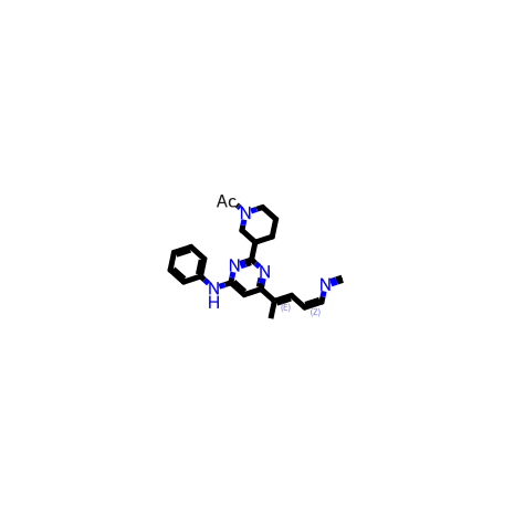 C=N/C=C\C=C(/C)c1cc(Nc2ccccc2)nc(C2CCCN(C(C)=O)C2)n1